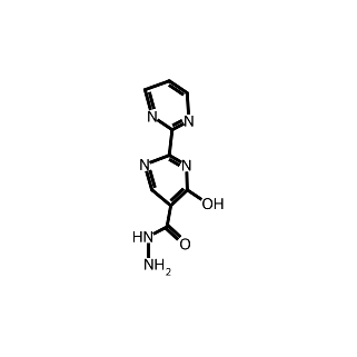 NNC(=O)c1cnc(-c2ncccn2)nc1O